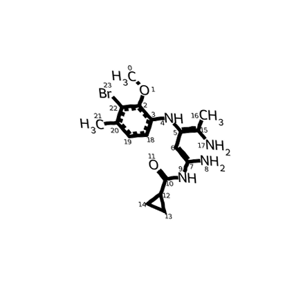 COc1c(NC(/C=C(\N)NC(=O)C2CC2)=C(\C)N)ccc(C)c1Br